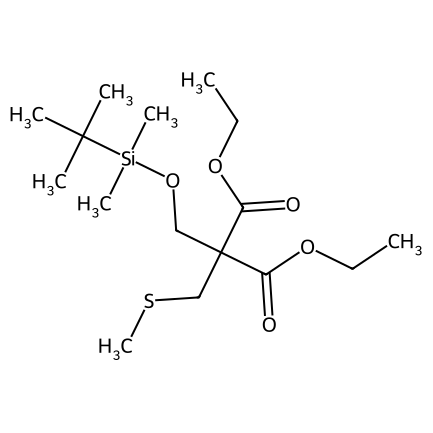 CCOC(=O)C(CO[Si](C)(C)C(C)(C)C)(CSC)C(=O)OCC